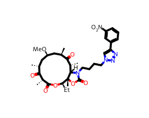 CC[C@H]1OC(=O)[C@H](C)C(=O)[C@H](C)C[C@@H](OC)C[C@@H](C)C(=O)[C@H](C)[C@@H]2N(CCCCn3cc(-c4cccc([N+](=O)[O-])c4)nn3)C(=O)O[C@@]21C